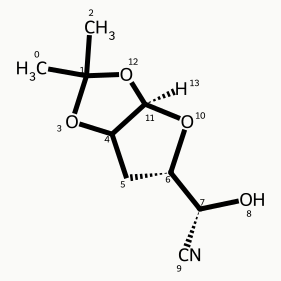 CC1(C)OC2C[C@@H]([C@H](O)C#N)O[C@@H]2O1